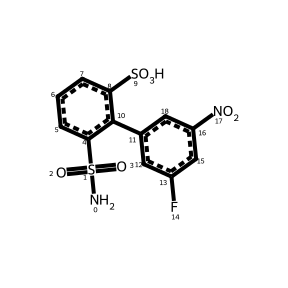 NS(=O)(=O)c1cccc(S(=O)(=O)O)c1-c1cc(F)cc([N+](=O)[O-])c1